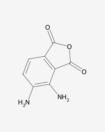 Nc1ccc2c(c1N)C(=O)OC2=O